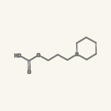 O=C(O)OCCCN1CCCCC1